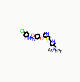 CCCN(Cc1ccc(-c2cc3nccc(Oc4ccc5oc(Nc6ccc(Cl)cc6)nc5c4)c3s2)nc1)C(C)=O